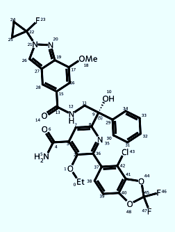 CCOc1c(C(N)=O)cc([C@@](O)(CNC(=O)c2cc(OC)c3nn(C4(F)CC4)cc3c2)c2ccccc2)nc1-c1ccc2c(c1Cl)OC(F)(F)O2